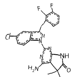 CC1(C)C(=O)Nc2nc(-n3nc(Cc4cccc(F)c4F)c4cc(Cl)ccc43)nc(N)c21